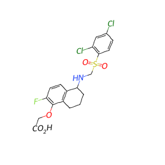 O=C(O)COc1c(F)ccc2c1CCCC2NCS(=O)(=O)c1ccc(Cl)cc1Cl